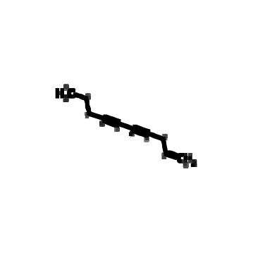 C=CCC#CC#CCCC